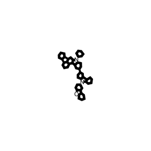 c1ccc(-n2c3ccc(-c4ccc5c(c4)c4ccccc4n5-c4ccc5oc6ccccc6c5c4)cc3c3c4cccc5c4c(cc32)-c2ccccc2-5)cc1